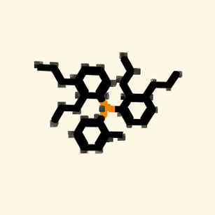 CCCc1cccc(P(c2ccccc2C)c2cccc(CCC)c2CCC)c1CCC